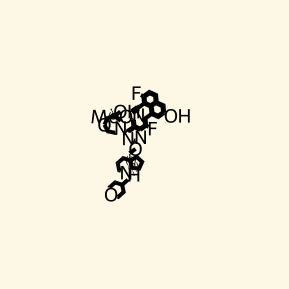 C#Cc1c(F)ccc2cc(O)cc(-c3nc(OC)c4c(N5CCOC[C@@](C)(O)C5)nc(OC[C@]56CCC[C@H]5N(CC5CCOCC5)CCC6)nc4c3F)c12